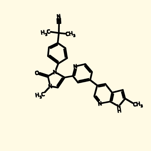 Cc1cc2cc(-c3ccnc(-c4cn(C)c(=O)n4-c4ccc(C(C)(C)C#N)cc4)c3)cnc2[nH]1